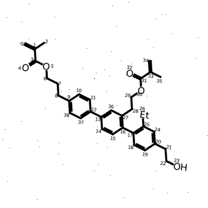 C=C(C)C(=O)OCCCc1ccc(-c2ccc(-c3ccc(CCO)cc3CC)c(CCOC(=O)C(=C)C)c2)cc1